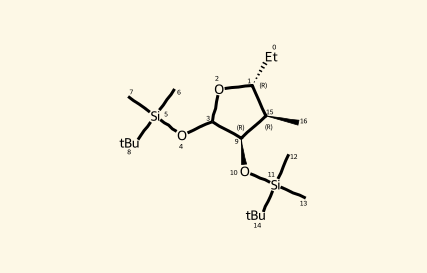 CC[C@H]1OC(O[Si](C)(C)C(C)(C)C)[C@H](O[Si](C)(C)C(C)(C)C)[C@@H]1C